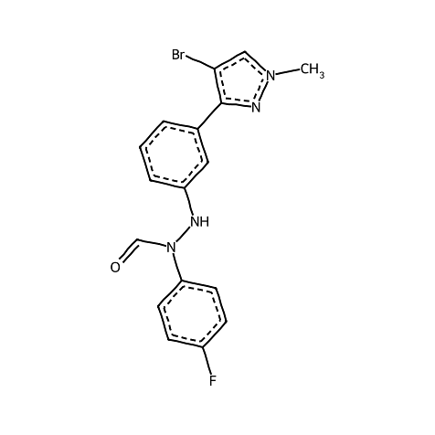 Cn1cc(Br)c(-c2cccc(NN(C=O)c3ccc(F)cc3)c2)n1